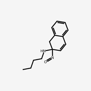 CCCCNC1(N=O)C=Cc2ccccc2C1